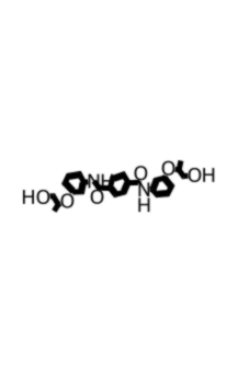 CC(CO)Oc1cccc(NC(=O)c2ccc(C(=O)Nc3cccc(OC(C)CO)c3)cc2)c1